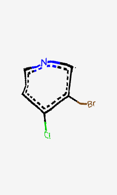 Clc1ccn[c]c1Br